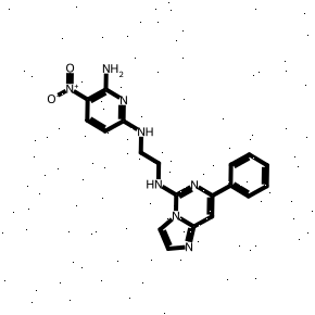 Nc1nc(NCCNc2nc(-c3ccccc3)cc3nccn23)ccc1[N+](=O)[O-]